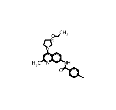 CCO[C@H]1CCN(c2cc(C)nc3cc(NC(=O)c4ccc(F)cc4)ccc23)C1